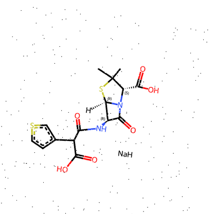 CC1(C)S[C@@H]2[C@H](NC(=O)C(C(=O)O)c3ccsc3)C(=O)N2[C@H]1C(=O)O.[NaH]